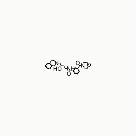 O=C(NCCC(O)CN1CCc2ccccc2C1)c1cccc(C(=O)N2CCOCC2)c1